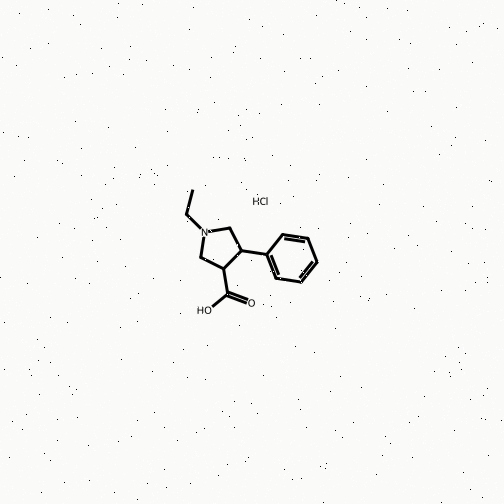 CCN1CC(C(=O)O)C(c2ccccc2)C1.Cl